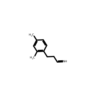 Cc1ccc(CCC=N)c(C)c1